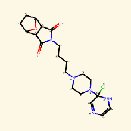 O=C1C2C3CCC(O3)C2C(=O)N1CCCCN1CCN(C2(Cl)C=NC=CN2)CC1